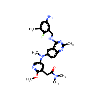 COc1ncc(N(C)c2ccc3nc(C)nc(NCc4cc(N)cc(C)c4F)c3c2)cc1CC(=O)N(C)C